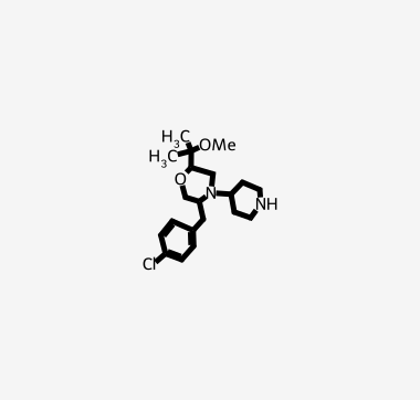 COC(C)(C)C1CN(C2CCNCC2)C(Cc2ccc(Cl)cc2)CO1